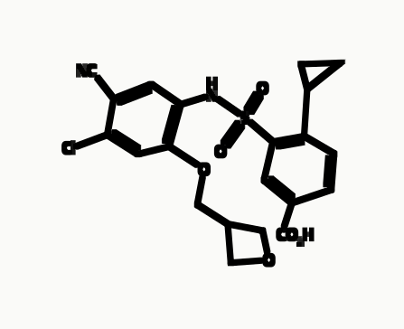 N#Cc1cc(NS(=O)(=O)c2cc(C(=O)O)ccc2C2CC2)c(OCC2COC2)cc1Cl